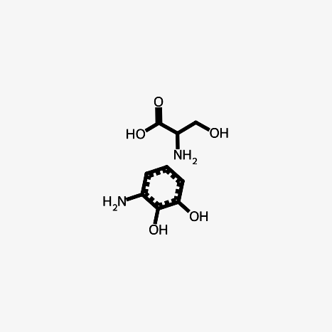 NC(CO)C(=O)O.Nc1cccc(O)c1O